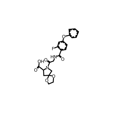 O=C(NCC(=O)N1CC2(CC1C(=O)O)OCCO2)c1ccc(Oc2ccccc2)cc1F